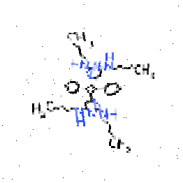 CCCCCNc1cc([C@H]2[C@H](c3ccccc3)[C@H](c3cc(NCCCCC)nc(NCCCCC)n3)[C@H]2c2ccccc2)nc(NCCCCC)n1